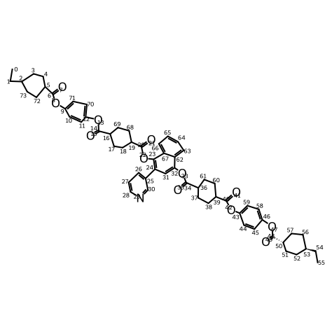 CCC1CCC(C(=O)Oc2ccc(OC(=O)C3CCC(C(=O)Oc4c(-c5cccnc5)cc(OC(=O)C5CCC(C(=O)Oc6ccc(OC(=O)[C@H]7CC[C@H](CC)CC7)cc6)CC5)c5ccccc45)CC3)cc2)CC1